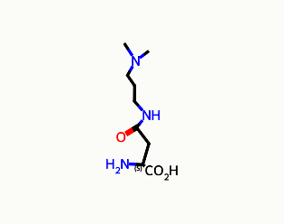 CN(C)CCCNC(=O)C[C@H](N)C(=O)O